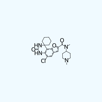 CN1CCC(N(C)C(=O)c2cc3cc(Cl)c4c(c3o2)C2(CCCCC2)NC(=O)N4)CC1